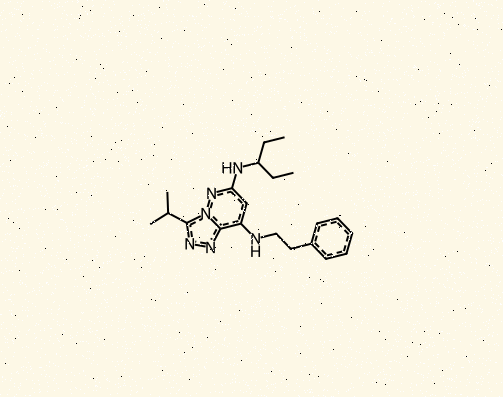 CCC(CC)Nc1cc(NCCc2ccccc2)c2nnc(C(C)C)n2n1